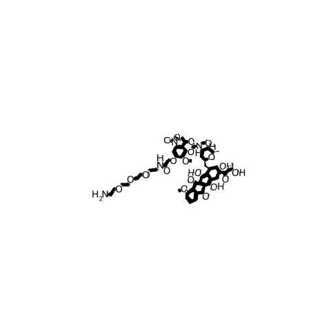 COc1cc(C(C)OC(=O)N2CO[C@@H]3[C@H](C)O[C@@H](C[C@H]4C[C@](O)(C(=O)CO)Cc5c(O)c6c(c(O)c54)C(=O)c4c(OC)cccc4C6=O)C[C@@H]32)c([N+](=O)[O-])cc1OCC(=O)NCCOCCOCCOCCN